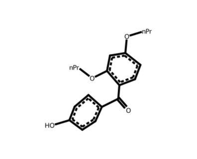 CCCOc1ccc(C(=O)c2ccc(O)cc2)c(OCCC)c1